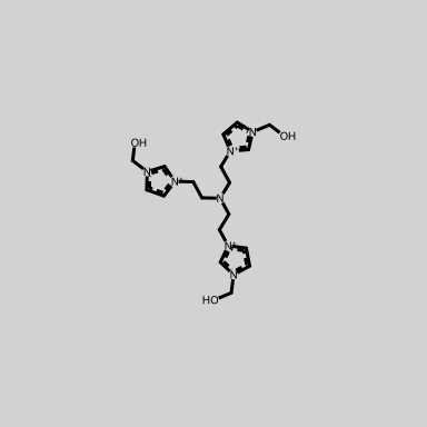 OCn1cc[n+](CCN(CC[n+]2ccn(CO)c2)CC[n+]2ccn(CO)c2)c1